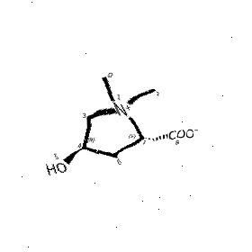 C[N+]1(C)C[C@H](O)C[C@H]1C(=O)[O-]